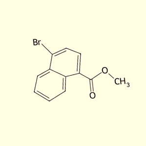 COC(=O)c1ccc(Br)c2ccccc12